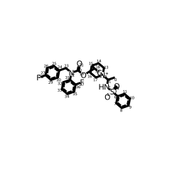 CC(NS(=O)(=O)c1ccccc1)[N+]12CCC(CC1)C(OC(=O)N(Cc1ccc(F)cc1)c1ccccc1F)C2